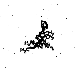 CCCc1nc2c(N)nc3c(C(C)C)c(C=Cc4cccnc4)ccc3c2n1N